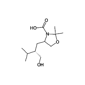 CC(C)[C@@H](CO)CC1COC(C)(C)N1C(=O)O